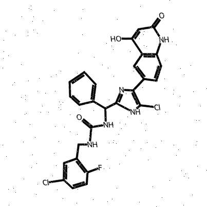 O=C(NCc1cc(Cl)ccc1F)NC(c1ccccc1)c1nc(-c2ccc3[nH]c(=O)cc(O)c3c2)c(Cl)[nH]1